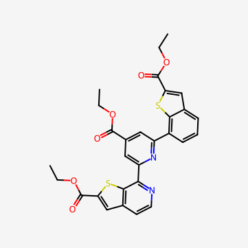 CCOC(=O)c1cc(-c2cccc3cc(C(=O)OCC)sc23)nc(-c2nccc3cc(C(=O)OCC)sc23)c1